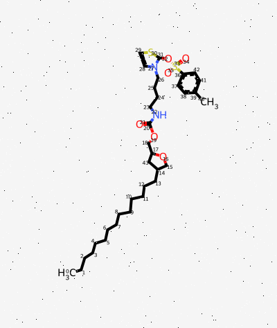 CCCCCCCCCCCCCCC1COC(COC(=O)NCCCCN2C=CSC2OS(=O)(=O)c2ccc(C)cc2)C1